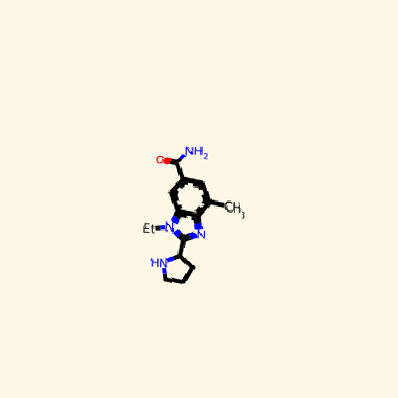 CCn1c(C2CCCN2)nc2c(C)cc(C(N)=O)cc21